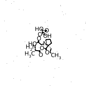 CCC[C@@]1(C(=O)OC(=O)[C@H](C)N)CCCN1CC(=O)O.O=S(=O)(O)O